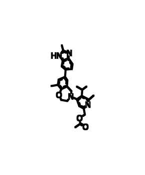 CC(=O)OCc1cc(N2CCOc3c(C)cc(-c4ccc5nc(C)[nH]c5c4)cc3C2)c(C(C)C)c(C)n1